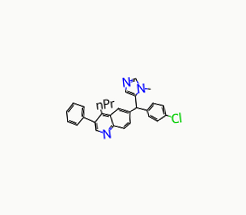 CCCc1c(-c2ccccc2)cnc2ccc(C(c3ccc(Cl)cc3)c3cncn3C)cc12